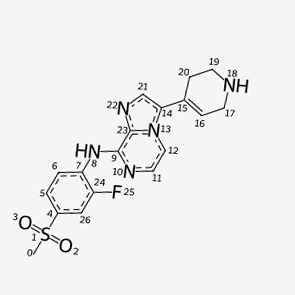 CS(=O)(=O)c1ccc(Nc2nccn3c(C4=CCNCC4)cnc23)c(F)c1